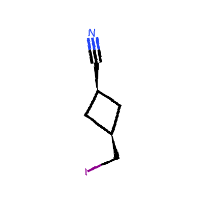 N#C[C@H]1C[C@@H](CI)C1